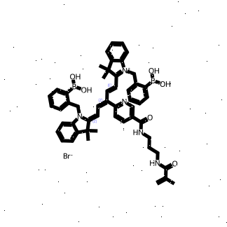 C=C(C)C(=O)NCCCNC(=O)c1ccc(C(=C\C=C2/N(Cc3ccccc3B(O)O)c3ccccc3C2(C)C)/C=C/C2=[N+](Cc3ccccc3B(O)O)c3ccccc3C2(C)C)nc1.[Br-]